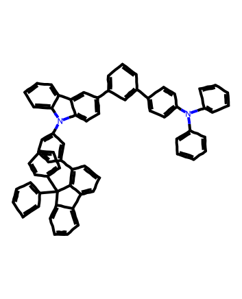 c1ccc(N(c2ccccc2)c2ccc(-c3cccc(-c4ccc5c(c4)c4ccccc4n5-c4cccc(-c5cccc6c5C(c5ccccc5)(c5ccccc5)c5ccccc5-6)c4)c3)cc2)cc1